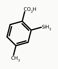 Cc1ccc(C(=O)O)c([SiH3])c1